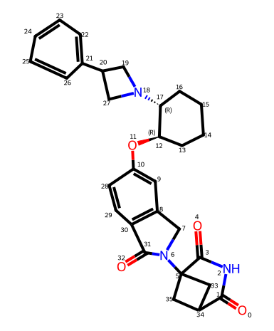 O=C1NC(=O)C2(N3Cc4cc(O[C@@H]5CCCC[C@H]5N5CC(c6ccccc6)C5)ccc4C3=O)CC1C2